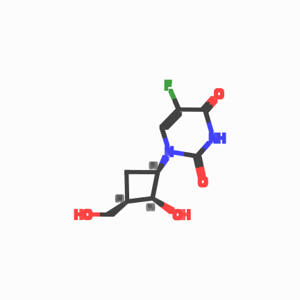 O=c1[nH]c(=O)n([C@@H]2C[C@H](CO)[C@@H]2O)cc1F